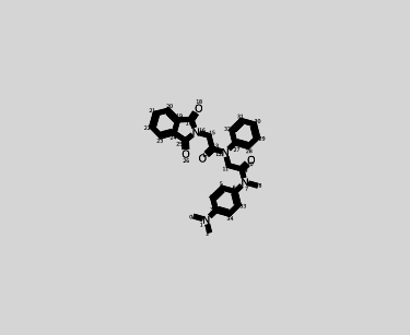 CN(C)c1ccc(N(C)C(=O)CN(C(=O)CN2C(=O)c3ccccc3C2=O)c2ccccc2)cc1